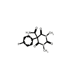 CN1C(=O)N(C)C(=O)C(C(N)=O)(c2ccc(F)cc2)C1=O